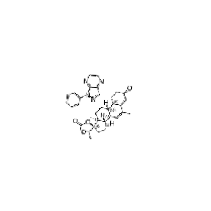 CC(=O)O[C@]1(C(C)=O)CC[C@H]2[C@@H]3C=C(C)C4=CC(=O)CC[C@]4(C)[C@H]3CC[C@@]21C.c1ccc(-n2ncc3nccnc32)cc1